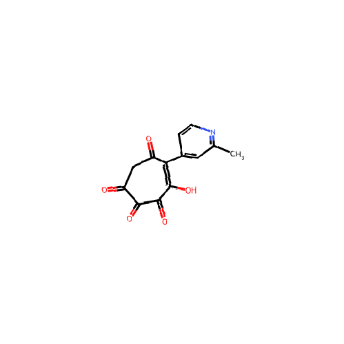 Cc1cc(C2=C(O)C(=O)C(=O)C(=O)CC2=O)ccn1